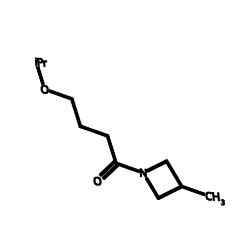 CC1CN(C(=O)CCCOC(C)C)C1